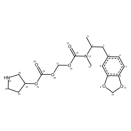 CC(Cc1ccc2c(c1)OCO2)N(C)C(=O)OCOC(=O)OC1CCNC1